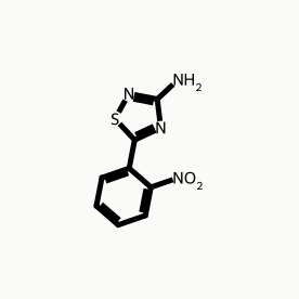 Nc1nsc(-c2ccccc2[N+](=O)[O-])n1